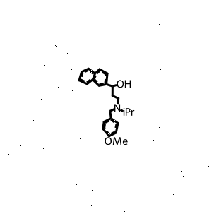 COc1ccc(CN(CCC(O)c2ccc3ccccc3c2)C(C)C)cc1